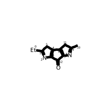 CCC1=NC2=C(C1)C1=C(N=C(C)C1)C2=O